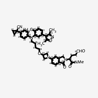 CNC(=O)C(CCC=O)N1Cc2cc(N3CC(OCCCCN(c4ccc(C5(C#N)CC5)cc4)c4cc(-c5c(C)noc5C)ccc4C)C3)ccc2C1=O